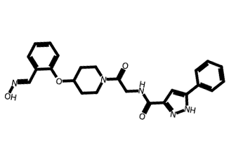 O=C(NCC(=O)N1CCC(Oc2ccccc2C=NO)CC1)c1cc(-c2ccccc2)[nH]n1